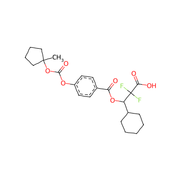 CC1(OC(=O)Oc2ccc(C(=O)OC(C3CCCCC3)C(F)(F)C(=O)O)cc2)CCCC1